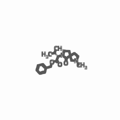 CC(C)[C@@H](C(=O)OCc1ccccc1)N1CCC2(CCN(C)C2)C1=O